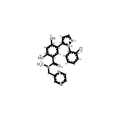 CN(Cc1cnccn1)C(=O)c1cc(-c2ccnn2-c2ccccc2Cl)c(O)cc1O